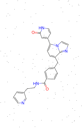 O=C(NCCc1cccnc1)c1ccc(Cc2ccc(-c3cc[nH]c(=O)c3)n3ccnc23)cc1